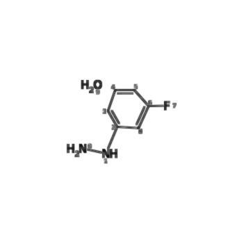 NNc1cccc(F)c1.O